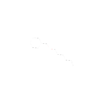 C=CCCCCOCC1CCCCC1